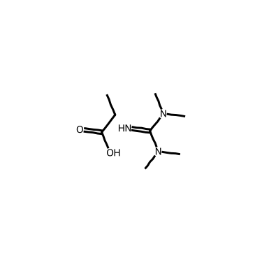 CCC(=O)O.CN(C)C(=N)N(C)C